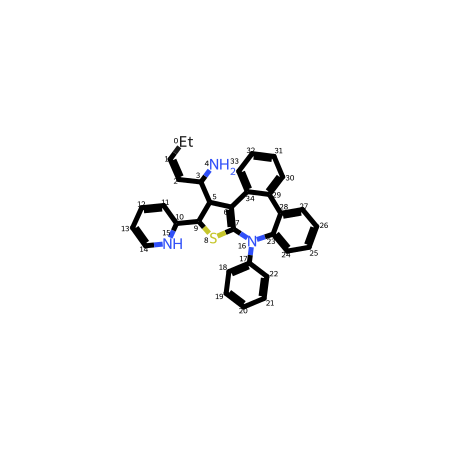 CC/C=C\C(N)C1C2=C(SC1C1C=CC=CN1)N(c1ccccc1)c1ccccc1-c1ccccc12